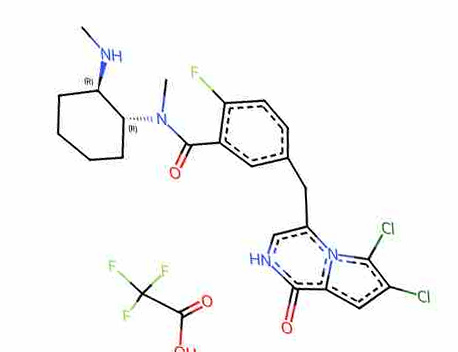 CN[C@@H]1CCCC[C@H]1N(C)C(=O)c1cc(Cc2c[nH]c(=O)c3cc(Cl)c(Cl)n23)ccc1F.O=C(O)C(F)(F)F